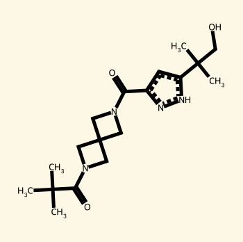 CC(C)(C)C(=O)N1CC2(CN(C(=O)c3cc(C(C)(C)CO)[nH]n3)C2)C1